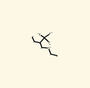 [CH2]COCC(CC)C(F)(F)F